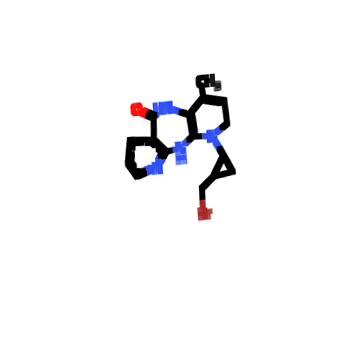 CC1=CCN(C2CC2CBr)C2=C1NC(=O)c1cccnc1N2